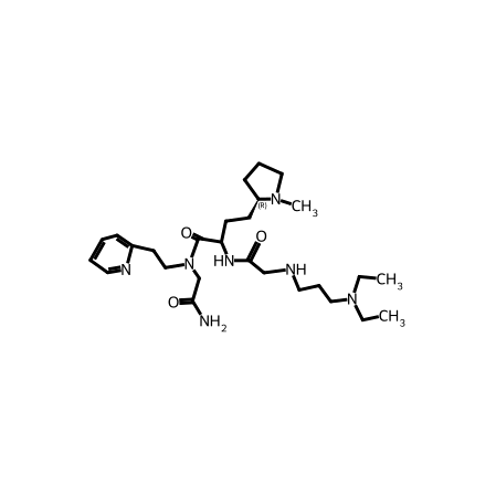 CCN(CC)CCCNCC(=O)NC(CC[C@H]1CCCN1C)C(=O)N(CCc1ccccn1)CC(N)=O